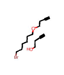 C#CCCO.C#CCCOCCCCCCBr